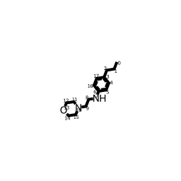 CCCc1ccc(NCCN2CCOCC2)cc1